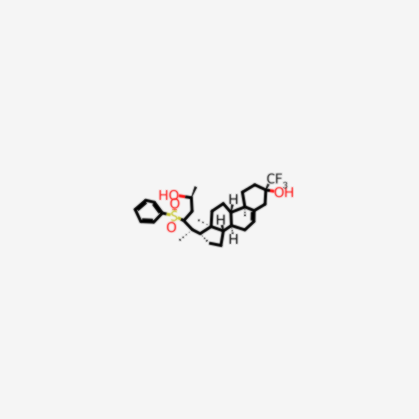 C[C@H](O)CC([C@@H](C)[C@H]1CC[C@H]2[C@@H]3CC=C4C[C@](O)(C(F)(F)F)CC[C@]4(C)[C@H]3CC[C@]12C)S(=O)(=O)c1ccccc1